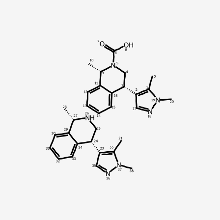 Cc1c([C@H]2CN(C(=O)O)[C@@H](C)c3ccccc32)cnn1C.Cc1c([C@H]2CN[C@@H](C)c3ccccc32)cnn1C